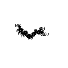 Cc1cc(Nc2nccn3c(-c4ccc(OCC#N)c(F)c4F)cnc23)ccc1C(=O)N1CCC(C(=O)N2CCN(C(=O)OC(C)(C)C)[C@H](CO)C2)CC1